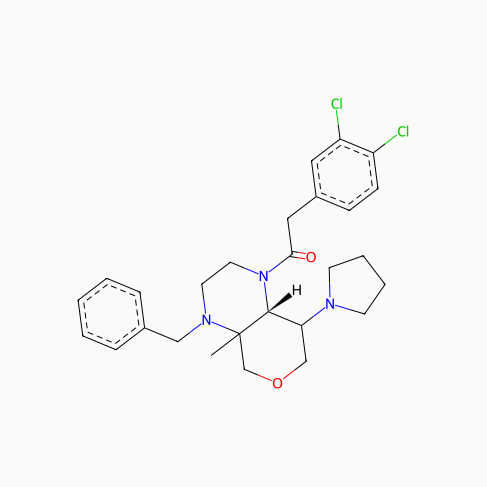 CC12COCC(N3CCCC3)[C@H]1N(C(=O)Cc1ccc(Cl)c(Cl)c1)CCN2Cc1ccccc1